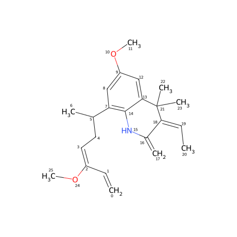 C=C/C(=C\CC(C)c1cc(OC)cc2c1NC(=C)/C(=C\C)C2(C)C)OC